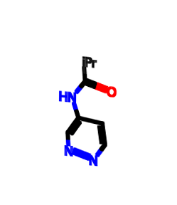 CC(C)C(=O)Nc1ccnnc1